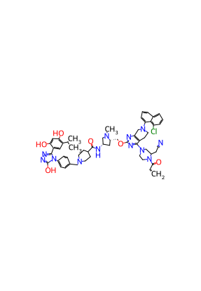 C=CC(=O)N1CCN(c2nc(OC[C@@H]3C[C@H](NC(=O)C4CCN(Cc5ccc(-n6c(O)nnc6-c6cc(C(C)C)c(O)cc6O)cc5)CC4)CN3C)nc3c2CCN(c2cccc4cccc(Cl)c24)C3)CC1CC#N